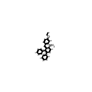 CCOc1ccc(C=C2C(c3ccccc3)=C(c3ccccc3)C=CC2N)cc1